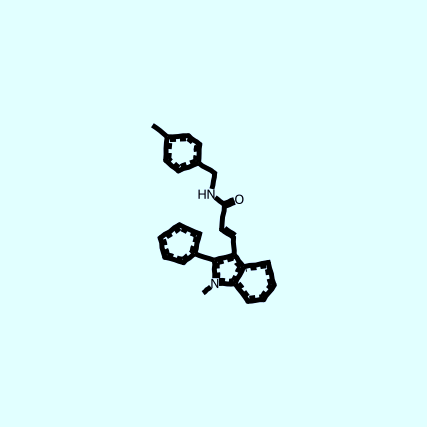 Cc1ccc(CNC(=O)/C=C/c2c(-c3ccccc3)n(C)c3ccccc23)cc1